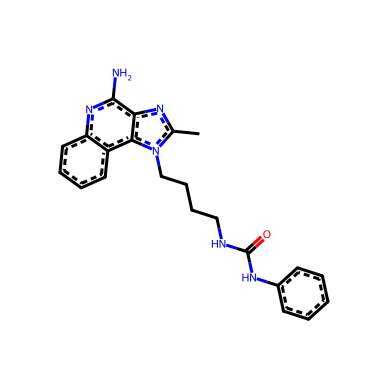 Cc1nc2c(N)nc3ccccc3c2n1CCCCNC(=O)Nc1ccccc1